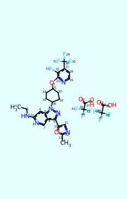 CCNc1cc2c(cn1)c(-c1cnc(C)o1)nn2C1CCC(Oc2nccc(C(F)(F)F)c2F)CC1.O=C(O)C(F)(F)F.O=C(O)C(F)(F)F